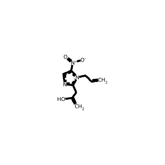 C=CCn1c([N+](=O)[O-])cnc1CC(=C)O